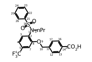 CCCN(c1ccc(C(F)(F)F)cc1OCc1ccc(C(=O)O)cc1)S(=O)(=O)c1ccccc1